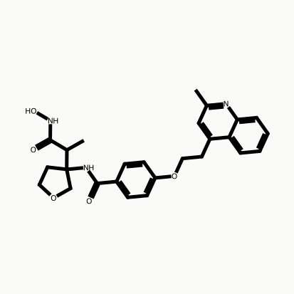 Cc1cc(CCOc2ccc(C(=O)NC3(C(C)C(=O)NO)CCOC3)cc2)c2ccccc2n1